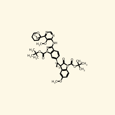 COc1ccc2c(c1)[C@]1(C[C@H]1c1ccc3c(Nc4ncnc(N5CC6CCC5CO6)c4OC)nn(C(=O)OC(C)(C)C)c3c1)C(=O)N2C(=O)OC(C)(C)C